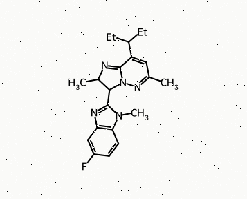 CCC(CC)C1=CC(C)=NN2C1=NC(C)C2c1nc2cc(F)ccc2n1C